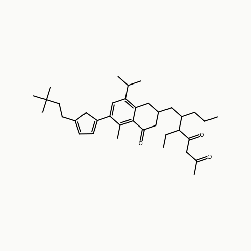 CCCC(CC1CC(=O)c2c(C)c(C3=CC=C(CCC(C)(C)C)C3)cc(C(C)C)c2C1)C(CC)C(=O)CC(C)=O